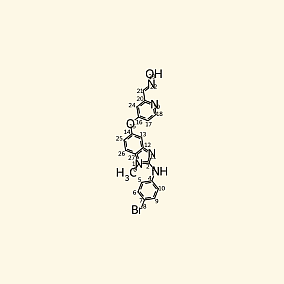 Cn1c(Nc2ccc(Br)cc2)nc2cc(Oc3ccnc(C=NO)c3)ccc21